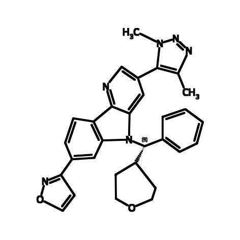 Cc1nnn(C)c1-c1cnc2c3ccc(-c4ccon4)cc3n([C@H](c3ccccc3)C3CCOCC3)c2c1